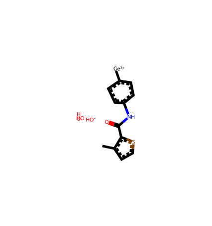 Cc1ccsc1C(=O)Nc1cc[c]([Ge+3])cc1.[OH-].[OH-].[OH-]